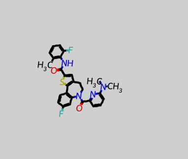 Cc1cccc(F)c1NC(=O)c1cc2c(s1)-c1ccc(F)cc1N(C(=O)c1cccc(N(C)C)n1)CC2